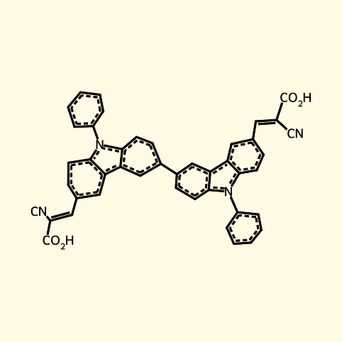 [C-]#[N+]/C(=C\c1ccc2c(c1)c1cc(-c3ccc4c(c3)c3cc(/C=C(\C#N)C(=O)O)ccc3n4-c3ccccc3)ccc1n2-c1ccccc1)C(=O)O